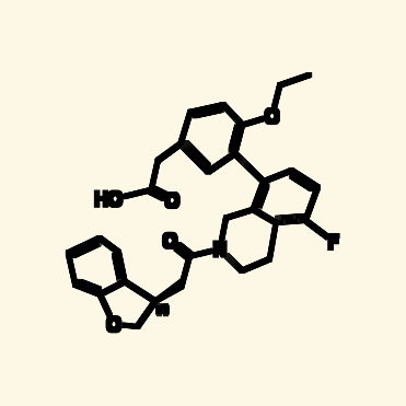 CCOc1ccc(CC(=O)O)cc1-c1ccc(F)c2c1CN(C(=O)C[C@H]1COc3ccccc31)CC2